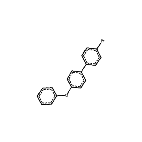 Brc1ccc(-c2ccc(Oc3ccccc3)cc2)cc1